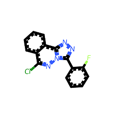 Fc1ccccc1-c1nnc2c3ccccc3c(Cl)nn12